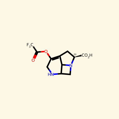 O=C(O)[C@@H]1CC2=C(OC(=O)C(F)(F)F)CNC3CN1C23